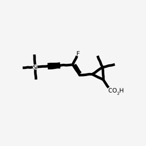 CC1(C)C(C=C(F)C#C[Si](C)(C)C)C1C(=O)O